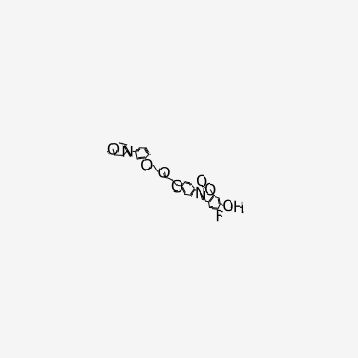 O=C1Oc2cc(O)c(F)cc2CN1c1ccc(OCCOCCOc2cccc(N3CCOCC3)c2)cc1